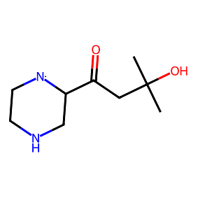 CC(C)(O)CC(=O)C1CNCC[N]1